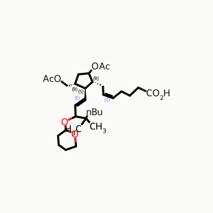 CCCCC(C)(C)C(/C=C/[C@H]1[C@H](COC(C)=O)CC(OC(C)=O)[C@@H]1C/C=C\CCCC(=O)O)OC1CCCCO1